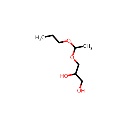 CCCOC(C)OCC(O)CO